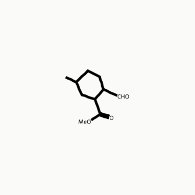 COC(=O)C1CC(C)CCC1C=O